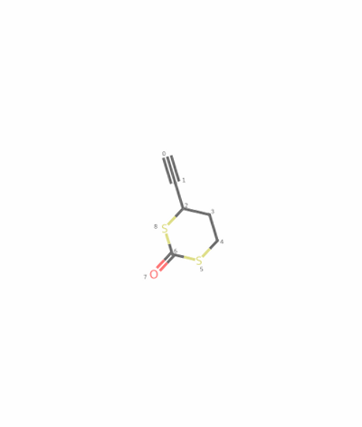 C#CC1CCSC(=O)S1